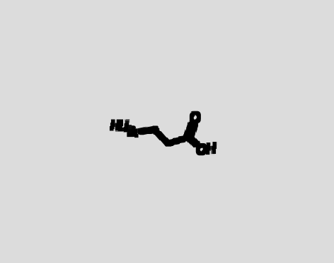 O=C(O)CCBr.[LiH]